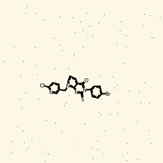 O=c1c2cccn(Cc3ccc(Cl)nc3)c-2nc(=S)n1-c1ccc(Br)cc1